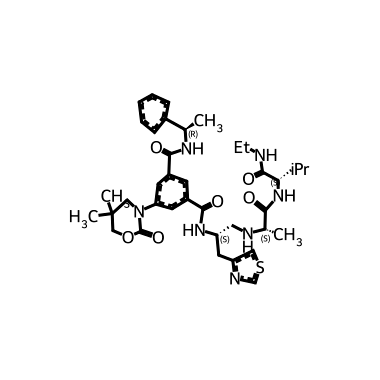 CCNC(=O)[C@@H](NC(=O)[C@H](C)NC[C@H](Cc1cscn1)NC(=O)c1cc(C(=O)N[C@H](C)c2ccccc2)cc(N2CC(C)(C)COC2=O)c1)C(C)C